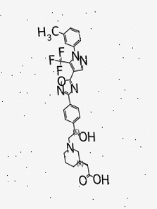 Cc1cccc(-n2ncc(-c3nc(-c4ccc([C@H](O)CN5CCC[C@H](CC(=O)O)C5)cc4)no3)c2C(F)(F)F)c1